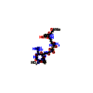 CNC(=O)CCCC(=O)NC(Cc1ccc(O)cc1)C(=O)NCCCCCC(=O)N[C@@H](CSC1CC(=O)N(CCC(=O)NCCCCC2NC(=O)[C@@H](Cc3ccccc3)NC(=O)C(CC(=O)O)NC(=O)CNC(=O)/C(=C/CCNC(=N)N)NC2=O)C1=O)C(N)=O